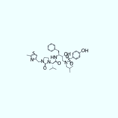 Cc1nc(CN2CCN([C@H](C(=O)N[C@@H](Cc3ccccc3)[C@H](O)CN(CC(C)C)S(=O)(=O)c3ccc(O)cc3)C(C)C)C2=O)cs1